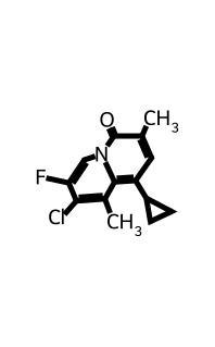 Cc1cc(C2CC2)c2c(C)c(Cl)c(F)cn2c1=O